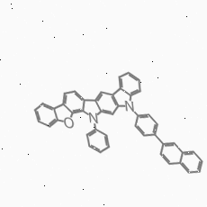 c1ccc(-n2c3cc4c(cc3c3ccc5c6ccccc6oc5c32)c2ccccc2n4-c2ccc(-c3ccc4ccccc4c3)cc2)cc1